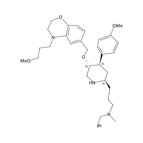 COCCCN1CCOc2ccc(CO[C@H]3CN[C@H](CCCN(C)CC(C)C)C[C@@H]3c3ccc(OC)cc3)cc21